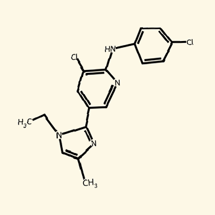 CCn1cc(C)nc1-c1cnc(Nc2ccc(Cl)cc2)c(Cl)c1